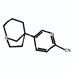 N#Cc1ccc(C23CCCN(CC2)C3)cn1